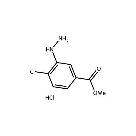 COC(=O)c1ccc(Cl)c(NN)c1.Cl